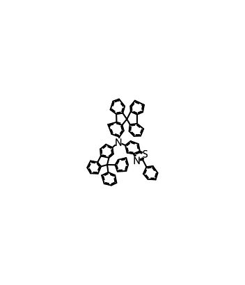 c1ccc(-c2nc3cc(N(c4ccc5c(c4)C(c4ccccc4)(c4ccccc4)c4ccccc4-5)c4ccc5c(c4)C4(c6ccccc6-c6ccccc64)c4ccccc4-5)ccc3s2)cc1